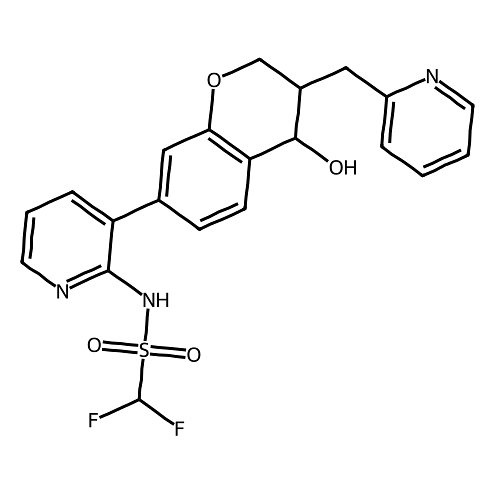 O=S(=O)(Nc1ncccc1-c1ccc2c(c1)OCC(Cc1ccccn1)C2O)C(F)F